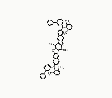 Cc1cccc(C)c1N(c1cccc(-c2ccccc2)c1)c1ccc2cc3c(cc2c1)oc1c(C(C)(C)C)c2c(oc4cc5cc(N(c6cccc(-c7ccccc7)c6)c6c(C)cccc6C)ccc5cc42)c(C(C)(C)C)c13